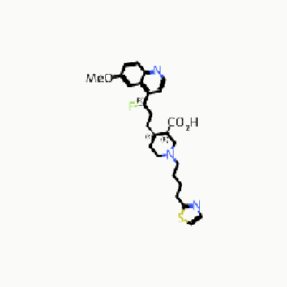 COc1ccc2nccc([C@H](F)CC[C@@H]3CCN(CCCCc4nccs4)C[C@@H]3C(=O)O)c2c1